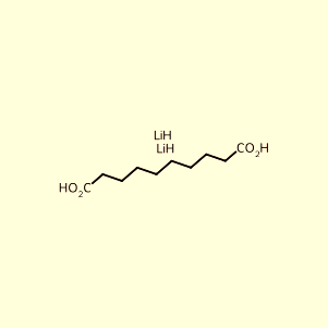 O=C(O)CCCCCCCCC(=O)O.[LiH].[LiH]